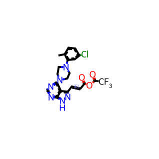 Cc1ccc(Cl)cc1N1CCN(c2ncnc3[nH]nc(/C=C/C(=O)OC(=O)C(F)(F)F)c23)CC1